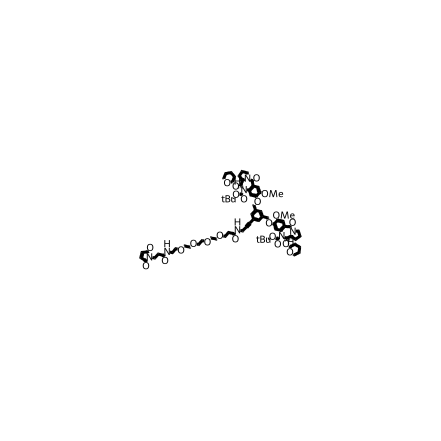 COc1cc2c(cc1OCc1cc(C#CCNC(=O)CCOCCOCCOCCOCCNC(=O)CCN3C(=O)C=CC3=O)cc(COc3cc4c(cc3OC)C(=O)N3CCC[C@H]3[C@H](OC3CCCCO3)N4C(=O)OC(C)(C)C)c1)N(C(=O)OC(C)(C)C)[C@@H](OC1CCCCO1)[C@@H]1CCCN1C2=O